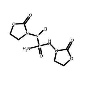 NP(=O)(NN1CCOC1=O)N(Cl)N1CCOC1=O